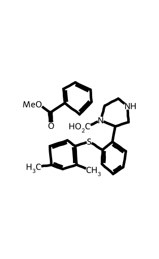 COC(=O)c1ccccc1.Cc1ccc(Sc2ccccc2C2CNCCN2C(=O)O)c(C)c1